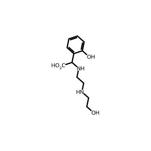 O=C(O)C(NCCNCCO)c1ccccc1O